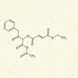 CCOC(=O)C=CC(=O)OC(C(=O)Cc1ccccc1)C(=O)OC(C)=O